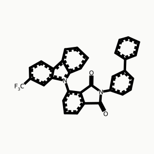 O=C1c2cccc(-n3c4ccccc4c4ccc(C(F)(F)F)cc43)c2C(=O)N1c1cccc(-c2ccccc2)c1